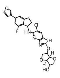 O[C@@H]1CO[C@H]2[C@@H]1OC[C@H]2Oc1nc2nc(NC3CCc4cc(-c5ccoc5)cc(F)c43)c(Cl)cc2[nH]1